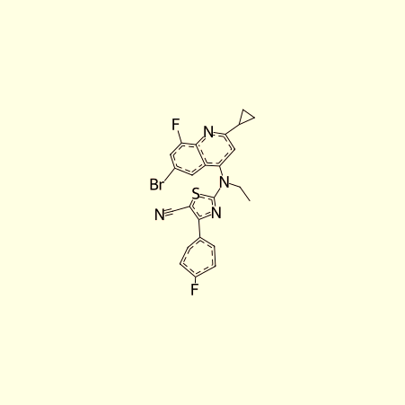 CCN(c1nc(-c2ccc(F)cc2)c(C#N)s1)c1cc(C2CC2)nc2c(F)cc(Br)cc12